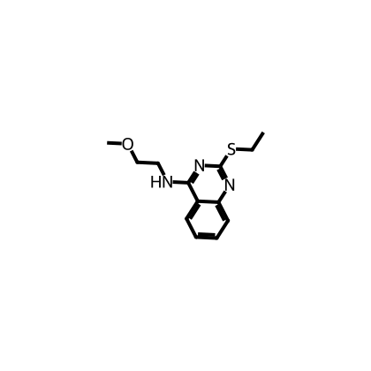 CCSc1nc(NCCOC)c2ccccc2n1